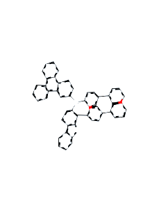 c1ccc(-c2ccc(-c3c(N(c4ccc(-c5ccccc5)cc4)c4ccc5c6ccccc6c6ccccc6c5c4)ccc4c3sc3ccccc34)cc2)cc1